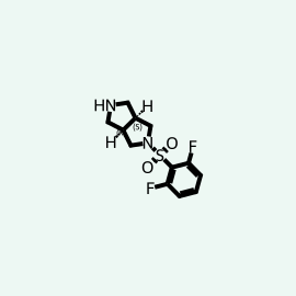 O=S(=O)(c1c(F)cccc1F)N1C[C@H]2CNC[C@H]2C1